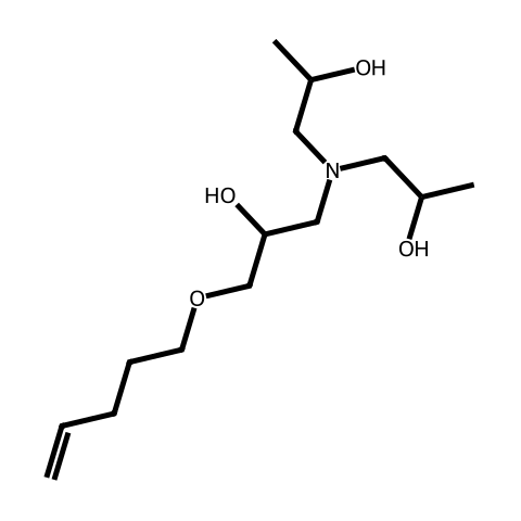 C=CCCCOCC(O)CN(CC(C)O)CC(C)O